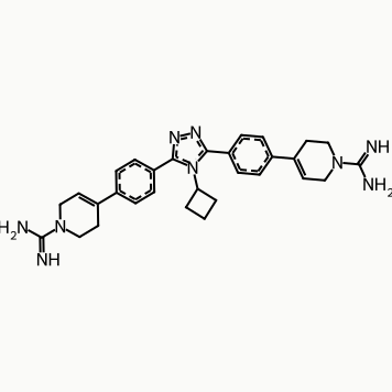 N=C(N)N1CC=C(c2ccc(-c3nnc(-c4ccc(C5=CCN(C(=N)N)CC5)cc4)n3C3CCC3)cc2)CC1